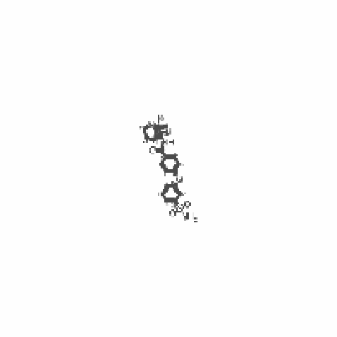 C[C@H]1[C@H](NC(=O)c2ccc(Oc3cccc(S(N)(=O)=O)c3)cc2)C2CCN1CC2